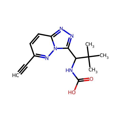 C#Cc1ccc2nnc(C(NC(=O)O)C(C)(C)C)n2n1